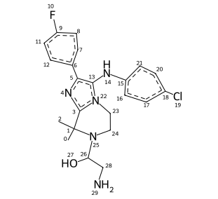 CC1(C)c2nc(-c3ccc(F)cc3)c(Nc3ccc(Cl)cc3)n2CCN1C(O)CN